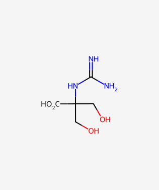 N=C(N)NC(CO)(CO)C(=O)O